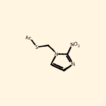 CC(=O)SCn1ccnc1[N+](=O)[O-]